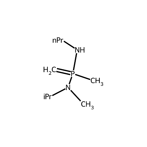 C=P(C)(NCCC)N(C)C(C)C